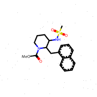 COC(=O)N1CCCC(NS(C)(=O)=O)C1Cc1cccc2ccccc12